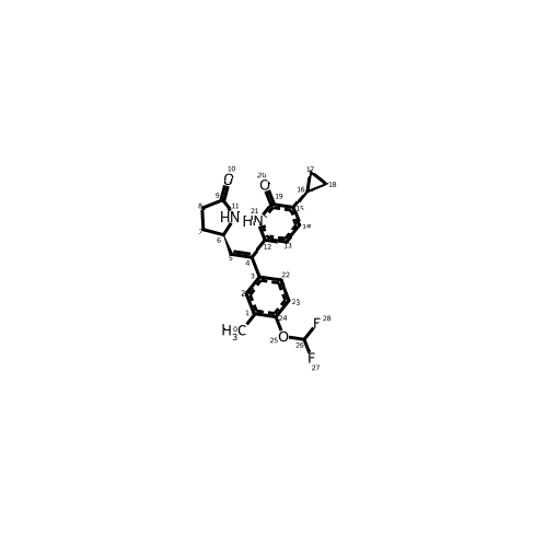 Cc1cc(/C(=C/[C@H]2CCC(=O)N2)c2ccc(C3CC3)c(=O)[nH]2)ccc1OC(F)F